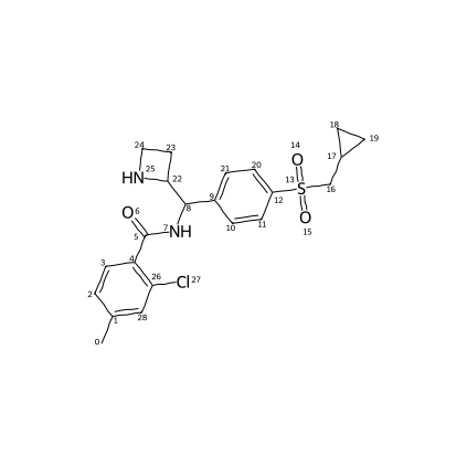 Cc1ccc(C(=O)NC(c2ccc(S(=O)(=O)CC3CC3)cc2)C2CCN2)c(Cl)c1